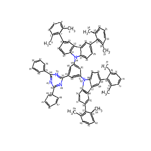 Cc1cccc(C)c1-c1ccc2c(c1)c1cc(-c3c(C)cccc3C)ccc1n2-c1cc(-c2nc(-c3ccccc3)nc(-c3ccccc3)n2)cc(-n2c3ccc(-c4c(C)cccc4C)cc3c3cc(-c4c(C)cccc4C)ccc32)c1